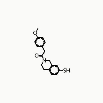 COc1ccc(CC(=O)N2CCc3ccc(S)cc3C2)cc1